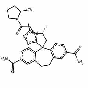 Cc1nnc(C2(C[C@@H](C)NCC(=O)N3CCC[C@H]3C#N)c3ccc(C(N)=O)cc3CCc3cc(C(N)=O)ccc32)o1